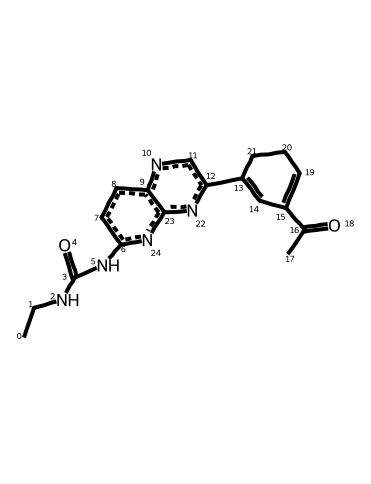 CCNC(=O)Nc1ccc2ncc(C3=CC(C(C)=O)=CCC3)nc2n1